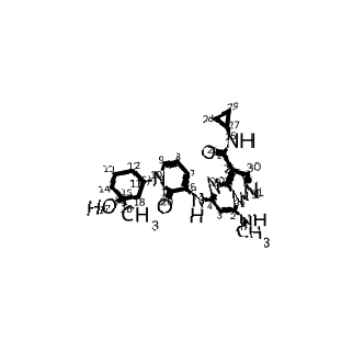 CNc1cc(Nc2cccn([C@H]3CCC[C@@](C)(O)C3)c2=O)nc2c(C(=O)NC3CC3)cnn12